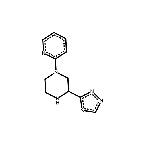 c1ccc(N2CCNC(c3nncs3)C2)nc1